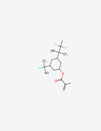 C=C(C)C(=O)OC1CC(C(F)(N=O)C(F)(F)F)CC(C(N=O)(C(C)(F)F)C(F)(F)F)C1